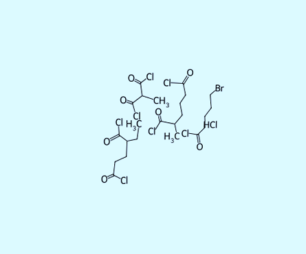 CC(C(=O)Cl)C(=O)Cl.CC(CCCC(=O)Cl)C(=O)Cl.CCC(CCC(=O)Cl)C(=O)Cl.Cl.O=C(Cl)CCCCBr